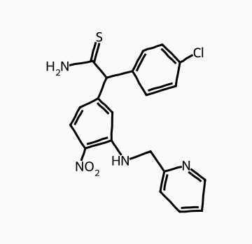 NC(=S)C(c1ccc(Cl)cc1)c1ccc([N+](=O)[O-])c(NCc2ccccn2)c1